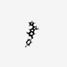 Cc1cc(CN2CCN(C)CC2)cc2c1Cc1c(-c3ccsc3)n[nH]c1-2